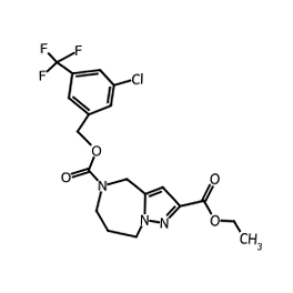 CCOC(=O)c1cc2n(n1)CCCN(C(=O)OCc1cc(Cl)cc(C(F)(F)F)c1)C2